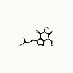 CCCC(=O)OCn1cnc2c1c(=O)n(C)c(=O)n2CC(C)C